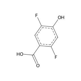 O=C(O)c1cc(F)c(O)cc1F